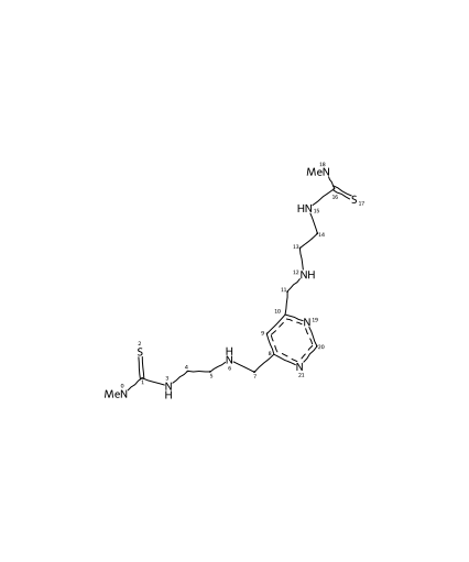 CNC(=S)NCCNCc1cc(CNCCNC(=S)NC)ncn1